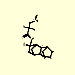 CCC1(OC(=O)C(C)(C)CPC)CC2CC1C1C3CCC(C3)C21